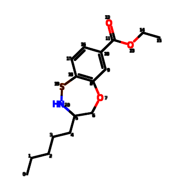 CCCCCC1COc2cc(C(=O)OCC)ccc2SN1